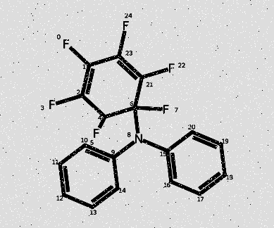 FC1=C(F)C(F)C(F)(N(c2ccccc2)c2ccccc2)C(F)=C1F